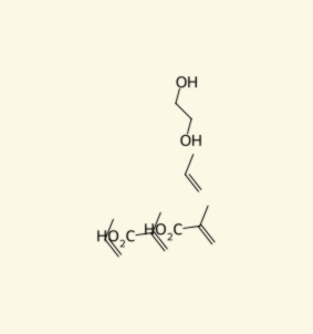 C=C(C)C(=O)O.C=C(C)C(=O)O.C=CC.C=CC.OCCO